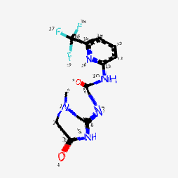 CN1CC(=O)NC1=NC(=O)Nc1cccc(C(F)(F)F)n1